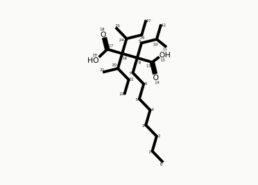 CCCCCCCCC(CC(C)C)(C(=O)O)C(C(=O)O)(C(C)CC)C(C)CC